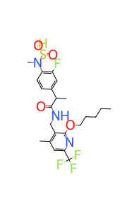 CCCCCOc1nc(C(F)(F)F)cc(C)c1CNC(=O)C(C)c1ccc(N(C)[SH](=O)=O)c(F)c1